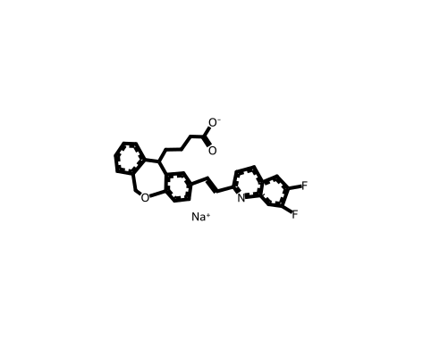 O=C([O-])CCCC1c2ccccc2COc2ccc(/C=C/c3ccc4cc(F)c(F)cc4n3)cc21.[Na+]